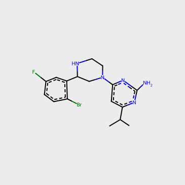 CC(C)c1cc(N2CCNC(c3cc(F)ccc3Br)C2)nc(N)n1